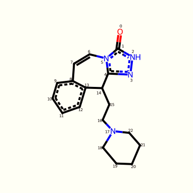 O=c1[nH]nc2n1C=Cc1ccccc1C2CCN1CCCCC1